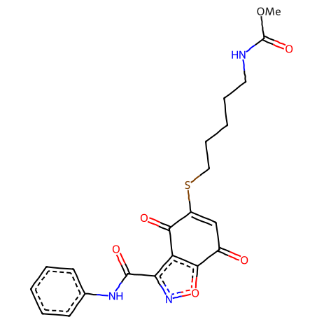 COC(=O)NCCCCCSC1=CC(=O)c2onc(C(=O)Nc3ccccc3)c2C1=O